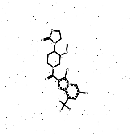 CO[C@H]1CN(C(=O)c2nc3c(C(F)(F)F)cc(Br)cn3c2Cl)CCC1N1CCOC1=O